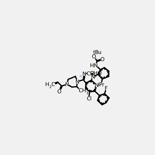 C=CC(=O)N1CCN(/C(=N/C)c2cc(Cl)c(-c3ccccc3F)nc2N(C=O)c2c(NC(=O)OC(C)(C)C)cccc2C(C)C)C(C)C1